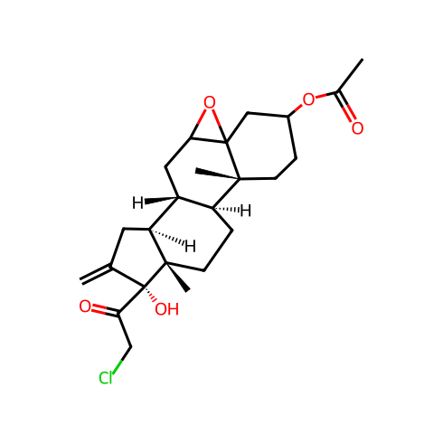 C=C1C[C@H]2[C@@H]3CC4OC45CC(OC(C)=O)CC[C@]5(C)[C@H]3CC[C@]2(C)[C@@]1(O)C(=O)CCl